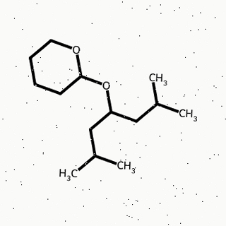 CC(C)CC(CC(C)C)OC1CCCCO1